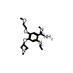 C/C=N/c1cc(OC2CN(C)C2)c(OCCOC)cc1/C(N)=N\C